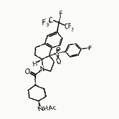 CC(=O)N[C@H]1CC[C@@H](C(=O)N2CC[C@@]3(S(=O)(=O)c4ccc(F)cc4)c4ccc(C(F)(C(F)(F)F)C(F)(F)F)cc4CC[C@@H]23)CC1